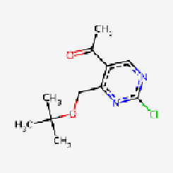 CC(=O)c1cnc(Cl)nc1COC(C)(C)C